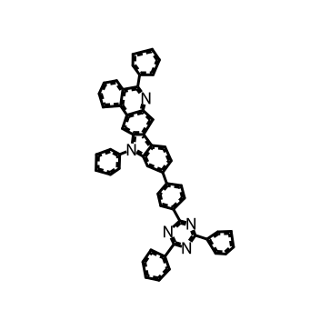 c1ccc(-c2nc(-c3ccccc3)nc(-c3ccc(-c4ccc5c6cc7nc(-c8ccccc8)c8ccccc8c7cc6n(-c6ccccc6)c5c4)cc3)n2)cc1